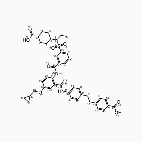 CCN([C@H]1CC[C@H](C(=O)O)CC1)S(=O)(=O)c1cccc(C(=O)Nc2ccc(OCC3CC3)cc2C(=O)Nc2ccc(CCc3ccc(C(=O)O)cc3)cc2)c1